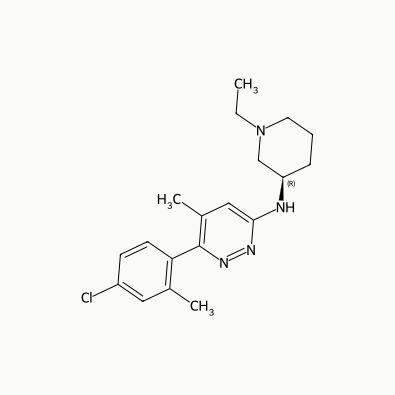 CCN1CCC[C@@H](Nc2cc(C)c(-c3ccc(Cl)cc3C)nn2)C1